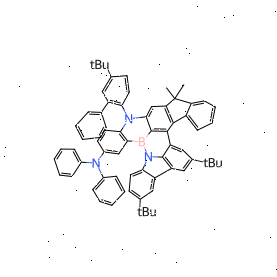 CC(C)(C)c1ccc(N2c3ccc(N(c4ccccc4)c4ccccc4)cc3B3c4c2cc2c(c4-c4cc(C(C)(C)C)cc5c6cc(C(C)(C)C)ccc6n3c45)-c3ccccc3C2(C)C)c(-c2ccccc2)c1